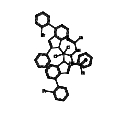 CCC(=O)N[B](NC(=O)CC)[Zr]([Cl])([Cl])([CH]1C(c2ccccc2)=Cc2c(-c3ccccc3C(C)C)cccc21)[CH]1C(c2ccccc2)=Cc2c(-c3ccccc3C(C)C)cccc21